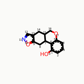 Oc1cccc2c1C1Cc3oncc3CC1CO2